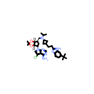 CC(C)N(C[C@H]1C[C@@H](n2cc(Cl)c3c(N)ncnc32)[C@@H]2OC(C)(C)O[C@H]12)C1CC(CCc2nc3ccc(C(C)(C)C)cc3[nH]2)C1